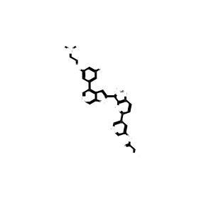 CC(C)CC(=O)Nc1cncc(-c2ccc3[nH]nc(-c4cc5c(-c6cc(F)cc(OCCN(C)C)c6)cncc5[nH]4)c3n2)c1